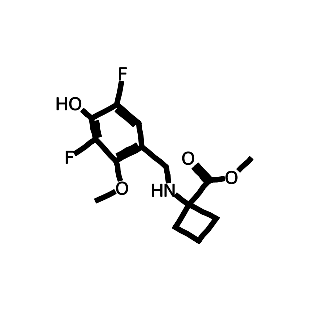 COC(=O)C1(NCc2cc(F)c(O)c(F)c2OC)CCC1